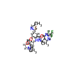 Cc1cnc(-c2cc(O[C@@H]3CC[C@H]4[C@H]3OCCN4C)cc(C(=O)NC(C)c3cnc(C(F)(F)F)nc3)c2)s1